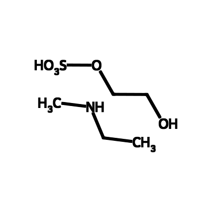 CCNC.O=S(=O)(O)OCCO